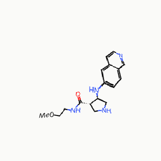 COCCNC(=O)[C@H]1CNC[C@@H]1Nc1ccc2cnccc2c1